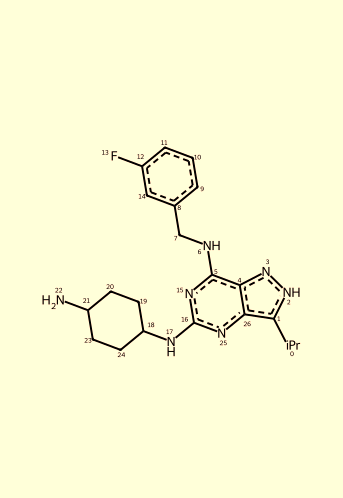 CC(C)c1[nH]nc2c(NCc3cccc(F)c3)nc(NC3CCC(N)CC3)nc12